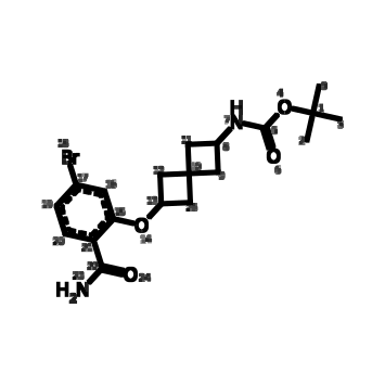 CC(C)(C)OC(=O)NC1CC2(C1)CC(Oc1cc(Br)ccc1C(N)=O)C2